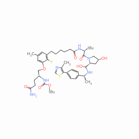 Cc1cc(CCCCCC(=O)N[C@H](C(=O)N2C[C@@H](O)C[C@H]2C(O)N[C@@H](C)c2ccc(-c3scnc3C)cc2)C(C)(C)C)c(F)c(OC[C@H](CCC(N)=O)NC(=O)OC(C)(C)C)c1